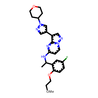 COCCOc1ccc(F)cc1C(C)Nc1ccn2ncc(-c3cnn(C4CCOCC4)c3)c2n1